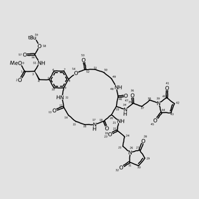 COC(=O)[C@H](Cc1ccc2c(c1)NC(=O)CCCNC(=O)C(NC(=O)CCN1C(=O)C=CC1=O)C(NC(=O)CCN1C(=O)C=CC1=O)C(=O)NCCCC(=O)O2)NC(=O)OC(C)(C)C